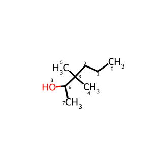 CCCC(C)(C)C(C)O